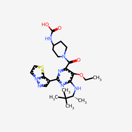 CCOc1c(N[C@H](C)C(C)(C)C)nc(-c2cnn3ccsc23)nc1C(=O)N1CCC(NC(=O)O)CC1